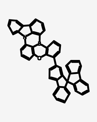 c1ccc2c(c1)-c1ccccc1C21c2ccccc2-c2ccc(-c3cccc4c3Oc3cccc5c3B4c3cccc4c6ccccc6n-5c34)cc21